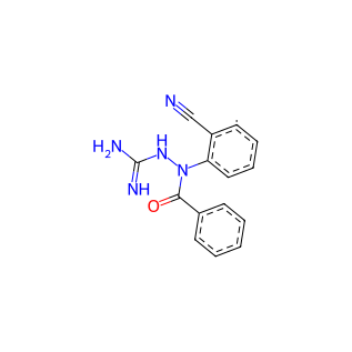 N#Cc1[c]cccc1N(NC(=N)N)C(=O)c1ccccc1